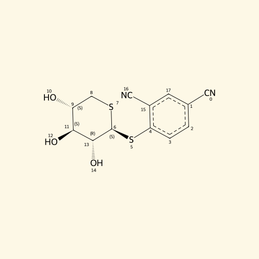 N#Cc1ccc(S[C@@H]2SC[C@@H](O)[C@H](O)[C@H]2O)c(C#N)c1